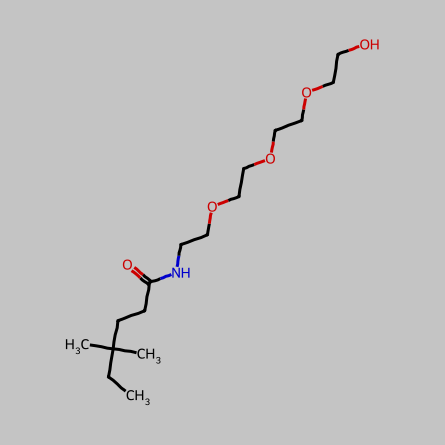 CCC(C)(C)CCC(=O)NCCOCCOCCOCCO